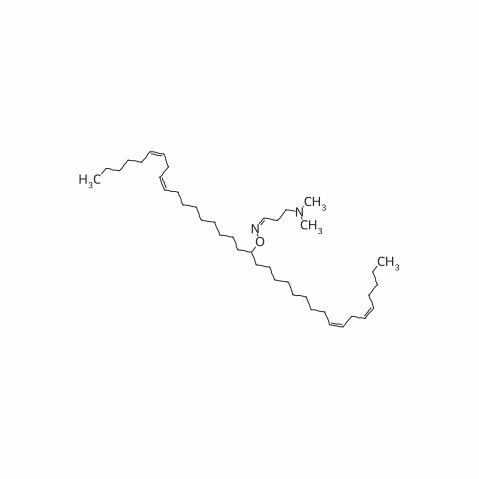 CCCC/C=C\C/C=C\CCCCCCCCC(CCCCCCCC/C=C\C/C=C\CCCCC)O/N=C\CCN(C)C